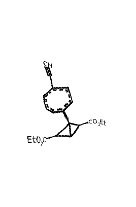 C#Cc1ccc(C23C(C(=O)OCC)C2C3C(=O)OCC)cc1